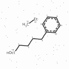 CCCCCCCCCCCCc1[c]cccc1.C[CH]C